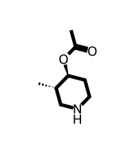 CC(=O)O[C@H]1CCNC[C@@H]1C